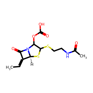 CC=C1C(=O)N2C(OC(=O)O)C(SCCNC(C)=O)S[C@@H]12